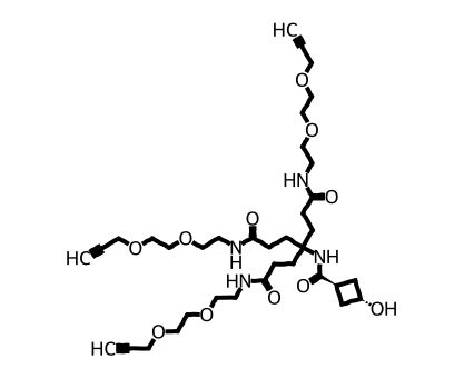 C#CCOCCOCCNC(=O)CCC(CCC(=O)NCCOCCOCC#C)(CCC(=O)NCCOCCOCC#C)NC(=O)[C@H]1C[C@H](O)C1